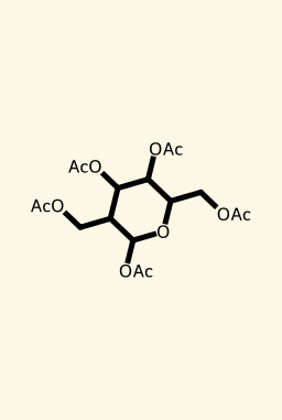 CC(=O)OCC1OC(OC(C)=O)C(COC(C)=O)C(OC(C)=O)C1OC(C)=O